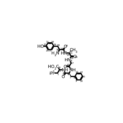 CC(C)CC(NC(=O)[C@H](Cc1ccccc1)NC(=O)CNC(=O)[C@@H](C)NC(=O)C(N)Cc1ccc(O)cc1)C(=O)O